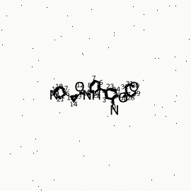 N#Cc1cc(-c2cccc(NC(=O)[C@H]3C[C@@H]3c3cccnc3)c2)ccc1OC1CCOCC1